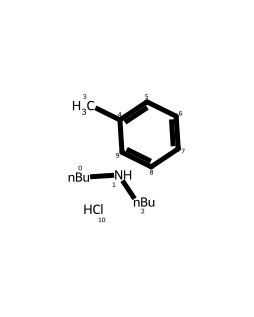 CCCCNCCCC.Cc1ccccc1.Cl